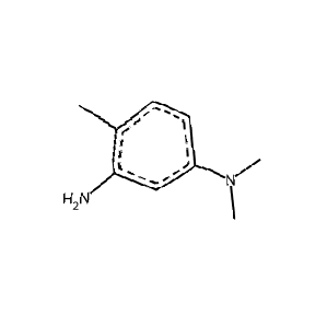 Cc1ccc(N(C)C)cc1N